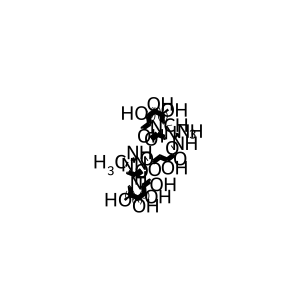 CN(CC(=O)N1C[C@H](O)[C@@H](O)[C@@H](O)C1CO)C(=N)NOC(=O)CC(O)C(=O)ONC(=N)N(C)CC(=O)N1C[C@H](O)[C@@H](O)[C@@H](O)C1CO